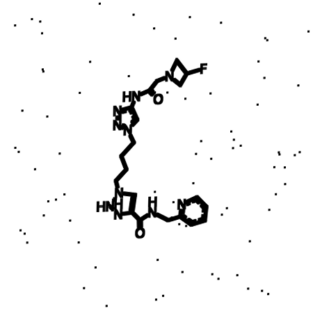 O=C(CN1CC(F)C1)Nc1cn(CCCCN2C=C(C(=O)NCc3ccccn3)NN2)nn1